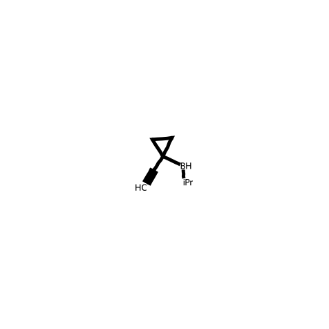 C#CC1(BC(C)C)CC1